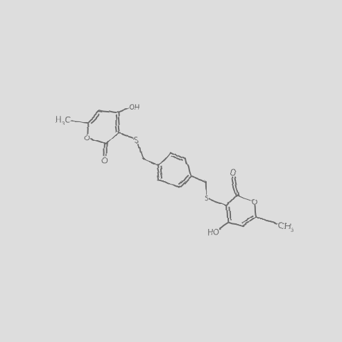 Cc1cc(O)c(SCc2ccc(CSc3c(O)cc(C)oc3=O)cc2)c(=O)o1